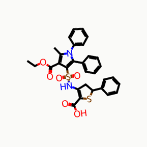 CCOC(=O)c1c(S(=O)(=O)NC2=C(C(=O)O)SC(c3ccccc3)C2)c(-c2ccccc2)n(-c2ccccc2)c1C